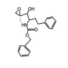 C[C@]1([C@@H](O)C(CCc2ccccc2)NC(=O)OCc2ccccc2)CO1